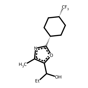 CCC(O)c1oc([C@H]2CC[C@@H](C(F)(F)F)CC2)nc1C